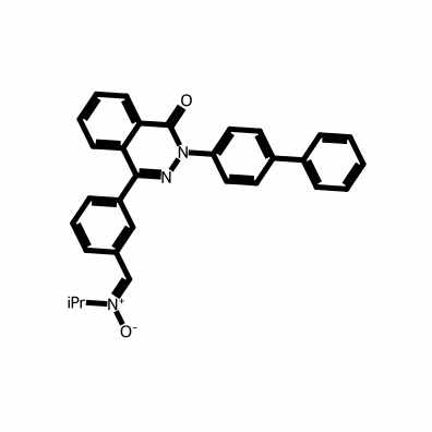 CC(C)/[N+]([O-])=C\c1cccc(-c2nn(-c3ccc(-c4ccccc4)cc3)c(=O)c3ccccc23)c1